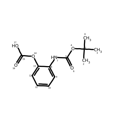 CC(C)(C)OC(=O)Nc1ccccc1OC(=O)O